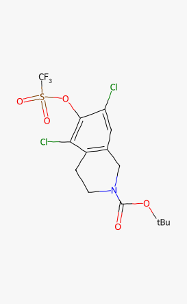 CC(C)(C)OC(=O)N1CCc2c(cc(Cl)c(OS(=O)(=O)C(F)(F)F)c2Cl)C1